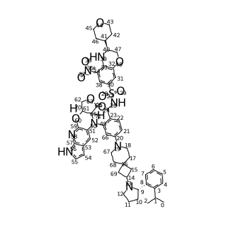 CC(C)c1ccccc1[C@@H]1CCCN1C1CC2(CCN(c3ccc(C(=O)NS(=O)(=O)c4cc5c(c([N+](=O)[O-])c4)N[C@@H](C4CCOCC4)CO5)c(N4c5cc6cc[nH]c6nc5O[C@H]5COC[C@@H]54)c3)CC2)C1